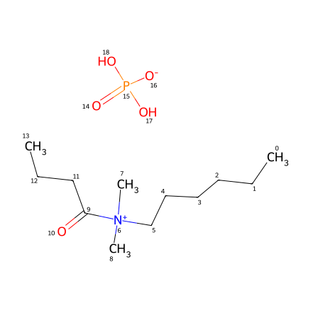 CCCCCC[N+](C)(C)C(=O)CCC.O=P([O-])(O)O